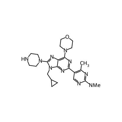 CNc1ncc(-c2nc(N3CCOCC3)c3nc(N4CCNCC4)n(CC4CC4)c3n2)c(C)n1